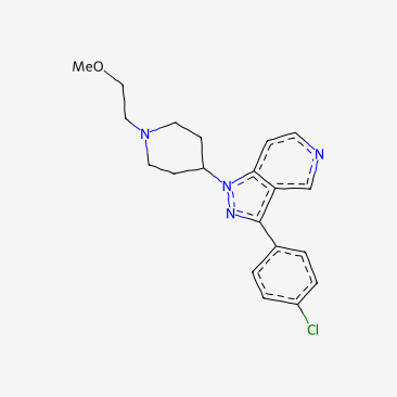 COCCN1CCC(n2nc(-c3ccc(Cl)cc3)c3cnccc32)CC1